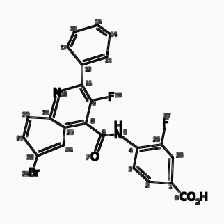 O=C(O)c1ccc(NC(=O)c2c(F)c(-c3ccccc3)nc3ccc(Br)cc23)c(F)c1